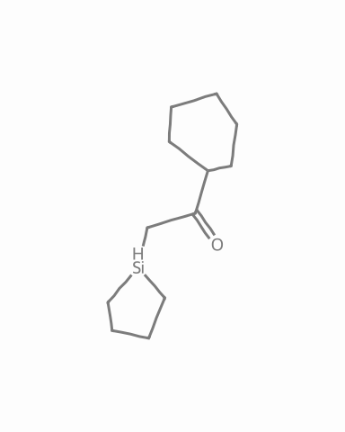 O=C(C[SiH]1CCCC1)C1CCCCC1